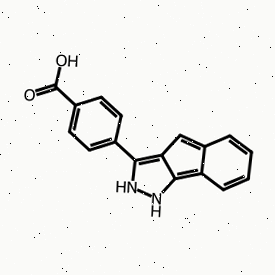 O=C(O)c1ccc(-c2[nH][nH]c3c4ccccc4cc2-3)cc1